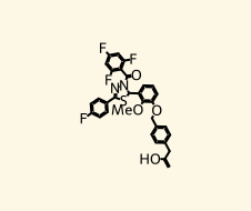 C=C(O)Cc1ccc(COc2cccc(C3SC(c4ccc(F)cc4)=NN3C(=O)c3c(F)cc(F)cc3F)c2OC)cc1